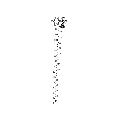 CCCCCCCCCCCCCCCCCCCCCCCCCCCCCC(=O)c1ccccc1S(=O)(=O)O